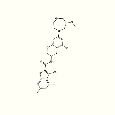 COC1CNCCN(c2cc(F)c3c(c2)OC[C@H](NC(=O)c2sc4nc(C)cc(C)c4c2N)C3)C1